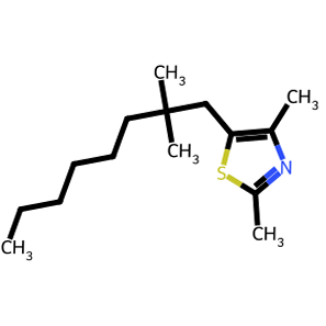 CCCCCCC(C)(C)Cc1sc(C)nc1C